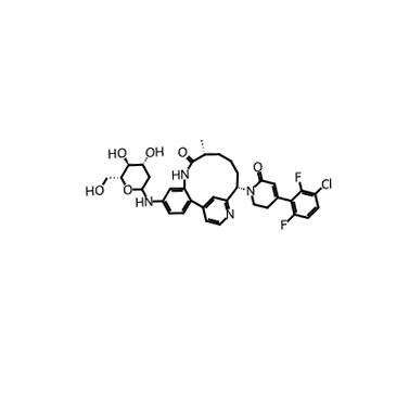 C[C@@H]1CCC[C@H](N2CCC(c3c(F)ccc(Cl)c3F)=CC2=O)c2cc(ccn2)-c2ccc(NC3C[C@@H](O)[C@H](O)[C@@H](CO)O3)cc2NC1=O